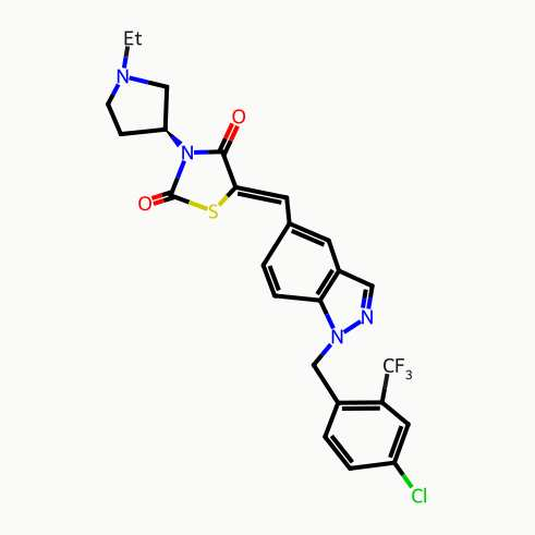 CCN1CC[C@H](N2C(=O)S/C(=C\c3ccc4c(cnn4Cc4ccc(Cl)cc4C(F)(F)F)c3)C2=O)C1